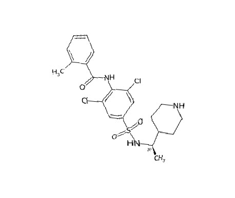 Cc1ccccc1C(=O)Nc1c(Cl)cc(S(=O)(=O)N[C@H](C)C2CCNCC2)cc1Cl